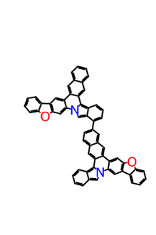 c1ccc2cc3c(cc2c1)c1cc2c(cc1n1cc4c(-c5ccc6cc7c(cc6c5)c5cc6oc8ccccc8c6cc5n5cc6ccccc6c75)cccc4c31)oc1ccccc12